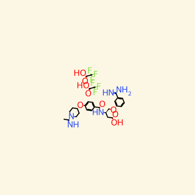 CC(=N)N1CCC(Oc2ccc(C(=O)N[C@@H](COc3cccc(C(=N)N)c3)CC(=O)O)cc2)CC1.O=C(O)C(F)(F)F.O=C(O)C(F)(F)F